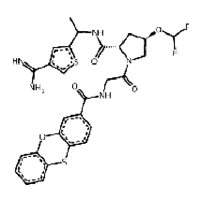 CC(NC(=O)[C@@H]1C[C@@H](OC(F)F)CN1C(=O)CNC(=O)c1ccc2c(c1)Oc1ccccc1S2)c1cc(C(=N)N)cs1